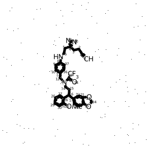 C#CCCC1(CCNc2ccc(CN(CCC(c3ccc4c(c3)OCO4)c3ccccc3OC)C(=O)C(F)(F)F)cc2)N=N1